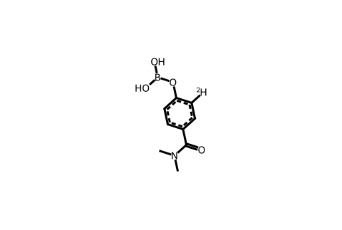 [2H]c1cc(C(=O)N(C)C)ccc1OB(O)O